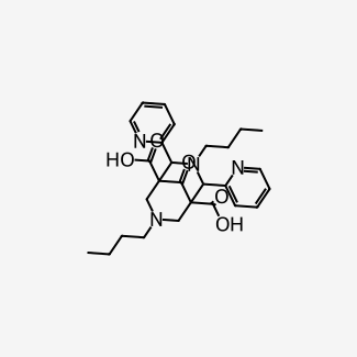 CCCCN1CC2(C(=O)O)C(=O)C(C(=O)O)(C1)C(c1ccccn1)N(CCCC)C2c1ccccn1